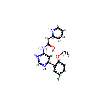 COc1ccc(F)cc1-c1cc(NC(=O)Cc2ccccn2)ncn1